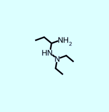 CCC(N)NN(CC)CC